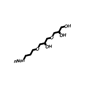 CCCCCCCCCCCCOCC(O)COCC(O)CO